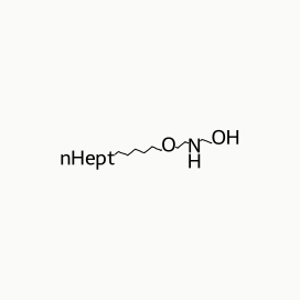 CCCCCCCCCCCCCOCCNCCO